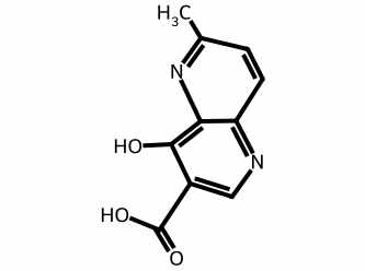 Cc1ccc2ncc(C(=O)O)c(O)c2n1